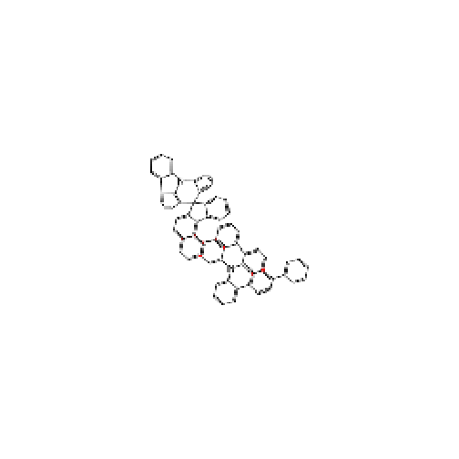 c1ccc(-c2ccc(-c3ccccc3N(c3ccc(-c4cccc5c4-c4ccccc4C54c5ccccc5-n5c6ccccc6c6cccc4c65)cc3)c3ccccc3-c3cccc(-c4ccccc4)c3)cc2)cc1